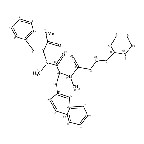 CNC(=O)[C@@H](Cc1ccccc1)N(C)C(=O)C(Cc1ccc2ccccc2c1)N(C)C(=O)COCC1CCCCN1